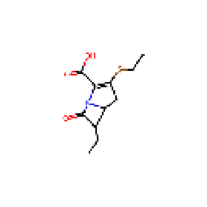 CCSC1=C(C(=O)O)N2C(=O)C(CC)C2C1